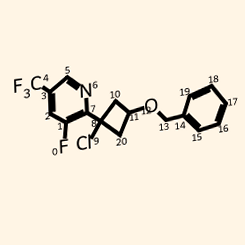 Fc1cc(C(F)(F)F)cnc1C1(Cl)CC(OCc2ccccc2)C1